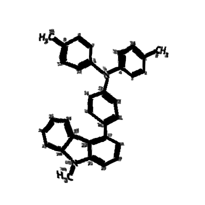 Cc1ccc(N(c2ccc(C)cc2)c2ccc(-c3cccc4c3c3ccccc3n4C)cc2)cc1